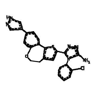 Nc1nnc(-c2cc3c(s2)-c2ccc(-c4cn[nH]c4)cc2OCC3)n1-c1ccccc1Cl